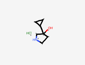 Cl.OC1(C2CC2)CCNC1